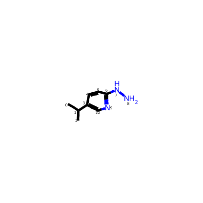 CC(C)c1ccc(NN)nc1